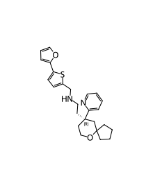 c1ccc([C@]2(CCNCc3ccc(-c4ccco4)s3)CCOC3(CCCC3)C2)nc1